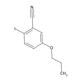 CCCOc1ccc(I)c(C#N)c1